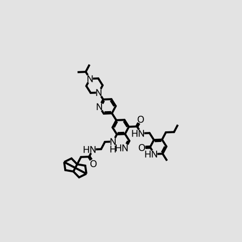 CCCc1cc(C)[nH]c(=O)c1CNC(=O)c1cc(-c2ccc(N3CCN(C(C)C)CC3)nc2)cc(NCCNC(=O)CC23CC4CC2CC4C3)c1C=N